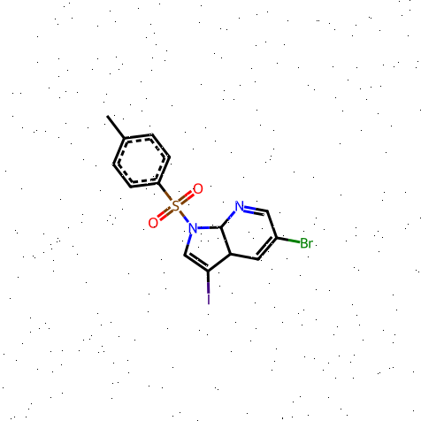 Cc1ccc(S(=O)(=O)N2C=C(I)C3C=C(Br)C=NC32)cc1